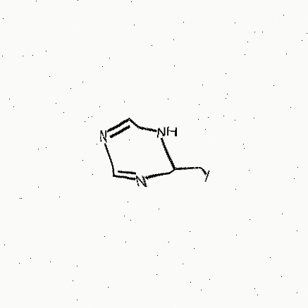 IC1N=CN=CN1